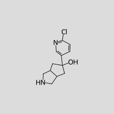 OC1(c2ccc(Cl)nc2)CC2CNCC2C1